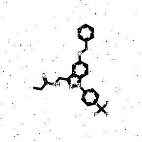 CCC(=O)NCc1nn(-c2ccc(C(F)(F)F)cc2)c2ccc(OCc3ccccc3)cc12